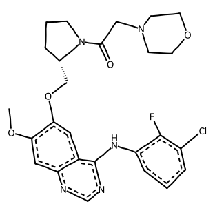 COc1cc2ncnc(Nc3cccc(Cl)c3F)c2cc1OC[C@@H]1CCCN1C(=O)CN1CCOCC1